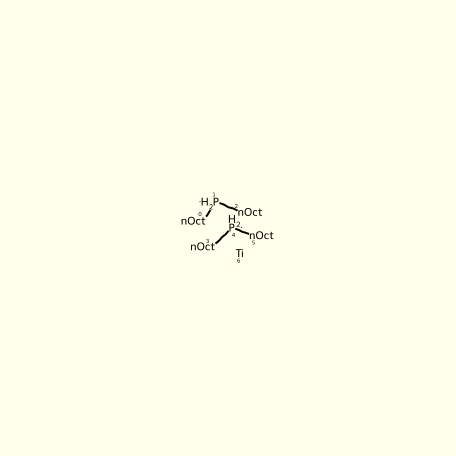 CCCCCCCC[PH2]CCCCCCCC.CCCCCCCC[PH2]CCCCCCCC.[Ti]